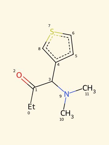 CCC(=O)C(c1ccsc1)N(C)C